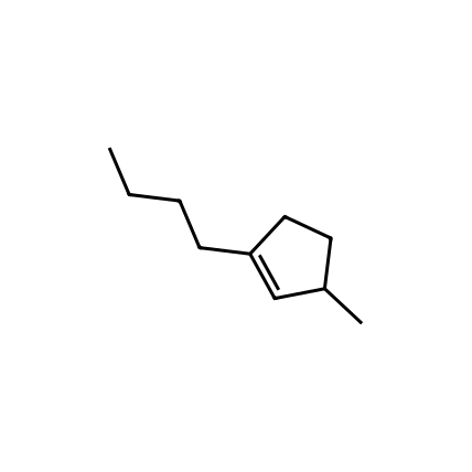 CCCCC1=CC(C)CC1